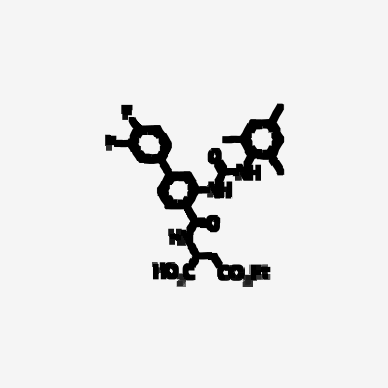 CCOC(=O)CC(NC(=O)c1ccc(-c2ccc(F)c(F)c2)cc1NC(=O)Nc1c(C)cc(C)cc1C)C(=O)O